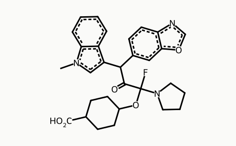 Cn1cc(C(C(=O)C(F)(OC2CCC(C(=O)O)CC2)N2CCCC2)c2ccc3ncoc3c2)c2ccccc21